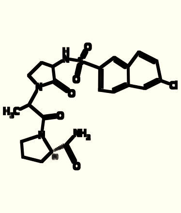 CC(C(=O)N1CCC[C@H]1C(N)=O)N1CCC(NS(=O)(=O)c2ccc3cc(Cl)ccc3c2)C1=O